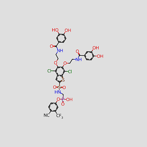 N#Cc1ccc(OP(=O)(O)CNS(=O)(=O)c2cc3c(Cl)c(OCCNC(=O)c4ccc(O)c(O)c4)c(OCCNC(=O)c4ccc(O)c(O)c4)c(Cl)c3s2)cc1C(F)(F)F